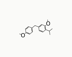 COc1ccc(Cc2ccc(C(C)C)c(OC)c2)cc1